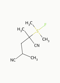 CC(C#N)CC(C)(C#N)S(C)(C)F